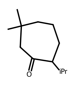 CC(C)C1CCCC(C)(C)CC1=O